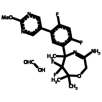 COc1ncc(-c2cc(C3(C)N=C(N)COC(C)(C)C3(F)F)c(F)cc2F)cn1.O=CO